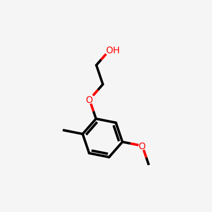 COc1ccc(C)c(OCCO)c1